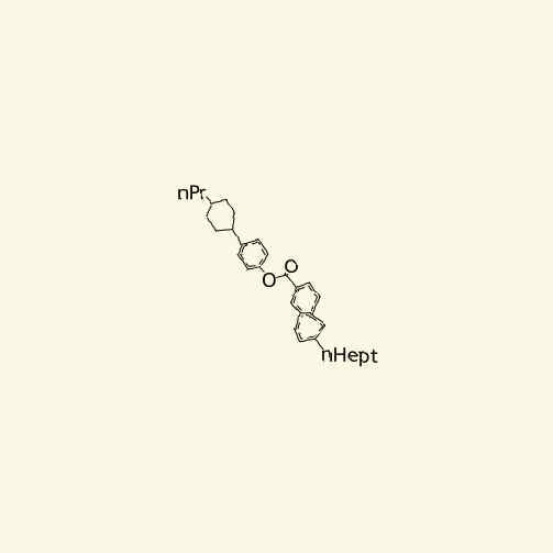 CCCCCCCc1ccc2cc(C(=O)Oc3ccc(C4CCC(CCC)CC4)cc3)ccc2c1